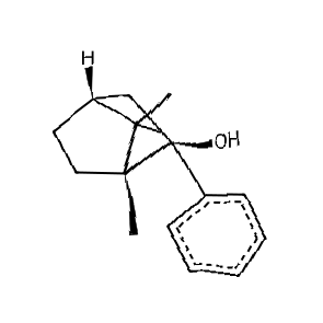 CC1(C)[C@@H]2CC[C@@]1(C)[C@@](O)(c1ccccc1)C2